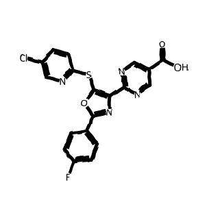 O=C(O)c1cnc(-c2nc(-c3ccc(F)cc3)oc2Sc2ccc(Cl)cn2)nc1